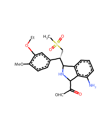 CCOc1cc([C@H](CS(C)(=O)=O)C2NC(C(=O)C=O)c3c(N)cccc32)ccc1OC